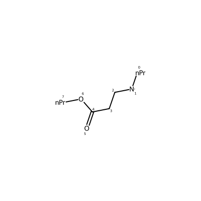 CCC[N]CCC(=O)OCCC